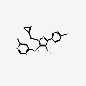 Cc1c(-c2ccc(F)cc2)nn(CC2CC2)c1Nc1cc(I)ncn1